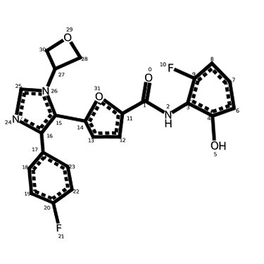 O=C(Nc1c(O)cccc1F)c1ccc(-c2c(-c3ccc(F)cc3)ncn2C2COC2)o1